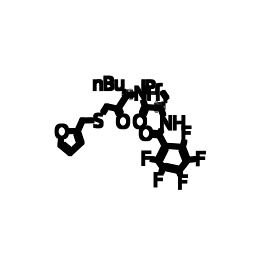 CCCC[C@H](NC(=O)[C@H](CC(C)C)NC(=O)c1c(F)c(F)c(F)c(F)c1F)C(=O)CSCc1ccco1